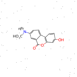 CCCN(C(=O)O)c1ccc2c(c1)c(=O)oc1cc(O)ccc12